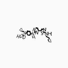 COCCNc1ncc(-c2ccnc(Nc3ccc(N(CCOC)C(=O)O)cc3)n2)s1